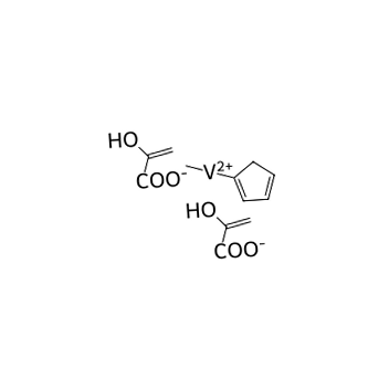 C=C(O)C(=O)[O-].C=C(O)C(=O)[O-].[CH3][V+2][C]1=CC=CC1